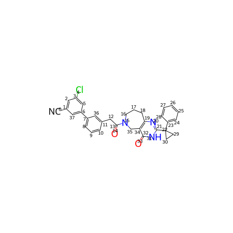 N#Cc1cc(Cl)cc(-c2cccc(CC(=O)N3CCCc4nc(C5(c6ccccc6)CC5)[nH]c(=O)c4C3)c2)c1